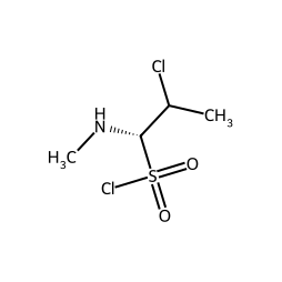 CN[C@H](C(C)Cl)S(=O)(=O)Cl